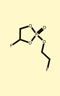 O=P1(OCCF)OCC(F)O1